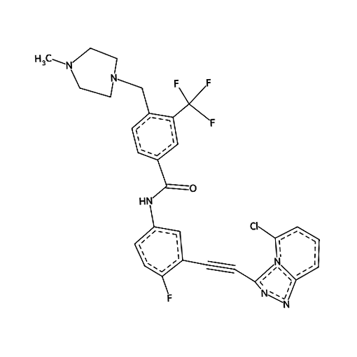 CN1CCN(Cc2ccc(C(=O)Nc3ccc(F)c(C#Cc4nnc5cccc(Cl)n45)c3)cc2C(F)(F)F)CC1